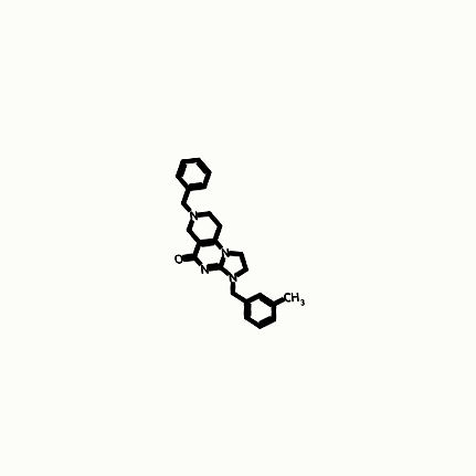 Cc1cccc(CN2CCn3c2nc(=O)c2c3CCN(Cc3ccccc3)C2)c1